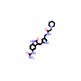 NC(=O)Nc1ccc2c(c1)/C(=C/c1cc(CNC(=O)CN3CCCCC3)c[nH]1)C(=O)N2